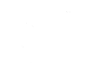 CCOC(=O)C(N)Cc1cnc2ccc(OC)cc2c1.Cl.Cl